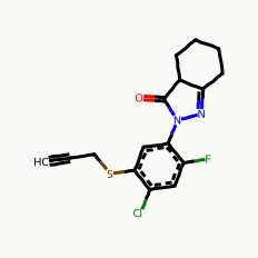 C#CCSc1cc(N2N=C3CCCCC3C2=O)c(F)cc1Cl